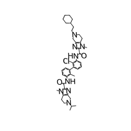 Cc1c(NC(=O)c2nc3c(n2C)CCN(C(C)C)C3)cccc1-c1cccc(NC(=O)c2nc3c(n2C)CCN(CCC2CCCCC2)C3)c1Cl